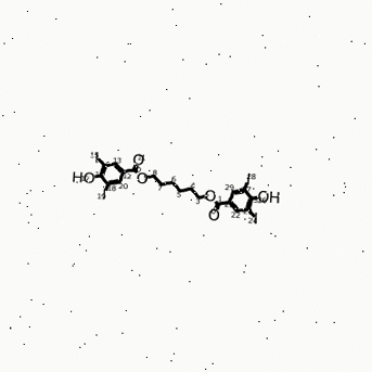 O=C(OCCCCCCOC(=O)c1cc(I)c(O)c(I)c1)c1cc(I)c(O)c(I)c1